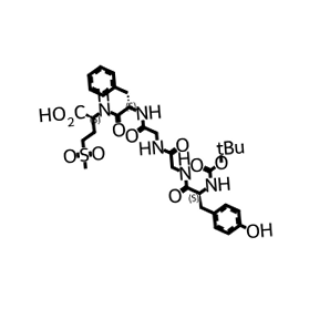 CC(C)(C)OC(=O)N[C@@H](Cc1ccc(O)cc1)C(=O)NCC(=O)NCC(=O)N[C@@H](Cc1ccccc1)C(=O)N[C@@H](CCS(C)(=O)=O)C(=O)O